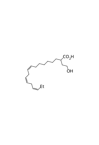 CC/C=C\C/C=C\C/C=C\CCCCCCC(CCO)C(=O)O